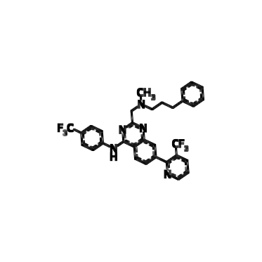 CN(CCCc1ccccc1)Cc1nc(Nc2ccc(C(F)(F)F)cc2)c2ccc(-c3ncccc3C(F)(F)F)cc2n1